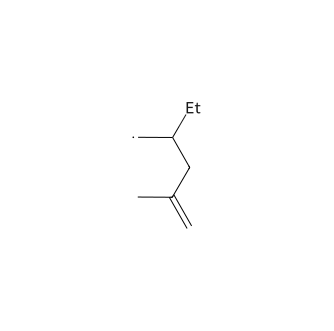 [CH2]C(CC)CC(=C)C